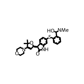 CNC(O)c1ccccc1Sc1ccc2c(c1)NC(=O)/C2=C1\C=C(N2CCOCC2)C(C)(C)O1